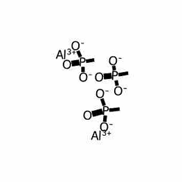 CP(=O)([O-])[O-].CP(=O)([O-])[O-].CP(=O)([O-])[O-].[Al+3].[Al+3]